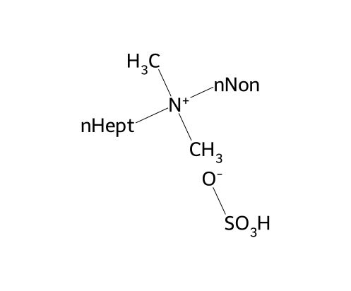 CCCCCCCCC[N+](C)(C)CCCCCCC.O=S(=O)([O-])O